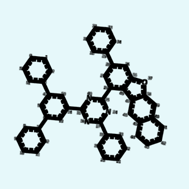 c1ccc(-c2cc(-c3ccccc3)cc(-c3nc(-c4ccccc4)nc(-c4cc(-c5ccccc5)cc5oc6cc7ccccc7cc6c45)n3)c2)cc1